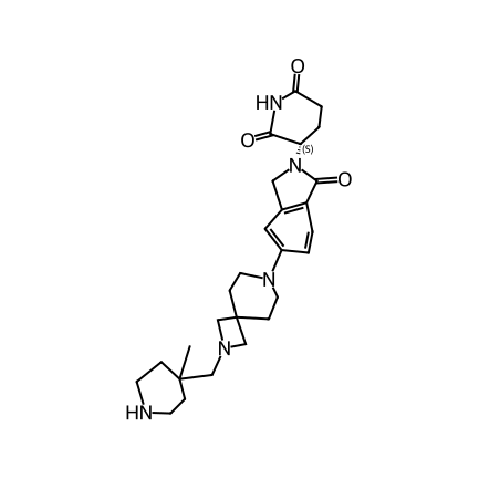 CC1(CN2CC3(CCN(c4ccc5c(c4)CN([C@H]4CCC(=O)NC4=O)C5=O)CC3)C2)CCNCC1